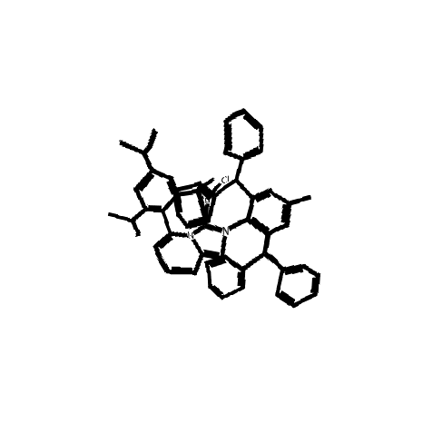 Cc1cc(C(c2ccccc2)c2ccccc2)c(N2C=C3C=CC=C(c4c(C(C)C)cc(C(C)C)cc4C(C)C)N3[CH]2[Au-][Cl])c(C(c2ccccc2)c2ccccc2)c1